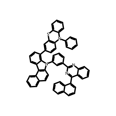 c1ccc(N2c3ccccc3Sc3cc(-c4cccc5c6c7ccccc7ccc6n(-c6cccc(-c7nc(-c8cccc9ccccc89)c8ccccc8n7)c6)c45)ccc32)cc1